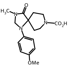 COc1ccc(N2CN(C)C(=O)C23CCN(C(=O)O)CC3)cc1